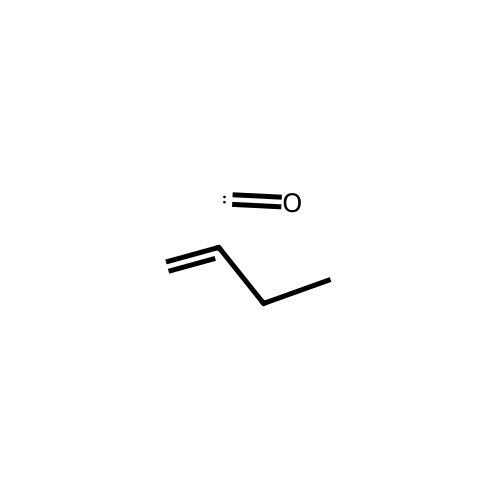 C=CCC.[C]=O